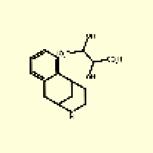 O=C(O)C(O)C(O)C(=O)O.c1ccc2c(c1)CC1CC2CCN1